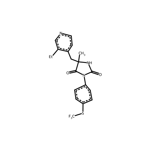 CCc1cnccc1CC1(C)NC(=O)N(c2ccc(SC(F)(F)F)cc2)C1=O